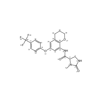 CN1C(=O)NCC1C(=O)Nc1cc(Oc2ccc(C(F)(F)F)cn2)cc2c1OCCC2